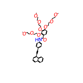 COCCOCCOc1ccc(C(=O)Nc2ccc(C#Cc3cccc4ccccc34)cc2)c(OCCOCCOC)c1OCCOCCOC